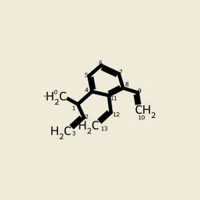 [CH2]C(C=C)c1cccc(C=C)c1C=C